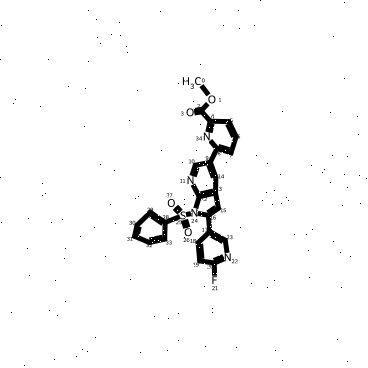 COC(=O)c1cccc(-c2cnc3c(c2)cc(-c2ccc(F)nc2)n3S(=O)(=O)c2ccccc2)n1